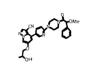 COC(C(=O)N1CCN(c2ccc(-c3cc(OCC(C)O)cn4ncc(C#N)c34)cn2)CC1)c1ccccc1